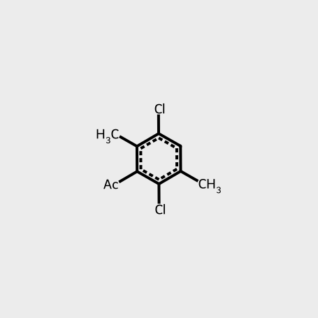 CC(=O)c1c(C)c(Cl)cc(C)c1Cl